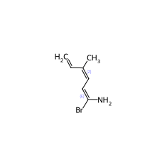 C=C/C(C)=C\C=C(/N)Br